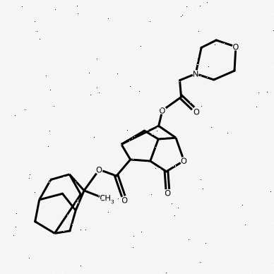 CC1(OC(=O)C2C3CC4C(OC(=O)C42)C3OC(=O)CN2CCOCC2)C2CC3CC(C2)CC1C3